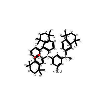 CCN(c1cc(N(c2ccc3c(c2)C(C)(C)CCC3(C)C)c2ccc3c(c2-c2ccccc2)C(C)(C)CCC3(C)C)cc(C(C)(C)C)c1)c1ccc2c(c1)C(C)(C)CCC2(C)C